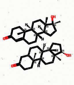 C[C@]12CCC(=O)C=C1CC[C@@H]1[C@@H]2CC[C@@]2(C)[C@H]1CC[C@]2(C)O.C[C@]12CC[C@H]3[C@@H](CCC4CC(=O)CC[C@@]43C)[C@@H]1CC[C@@H]2O